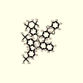 Cc1cc2c(cc1N1B3c4c(cc5ccccc5c4-c4cc5c(cc41)Oc1ccccc1O5)-n1c4ccc(C(C)(C)C)cc4c4cc(C(C)(C)C)cc3c41)C(C)(C)CCC2(C)C